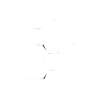 CCC[C@@H](CCC(C)(C)C)N1CC[C@@H](CC(=O)O)C[C@H]1c1ccc(C(F)(F)F)cc1